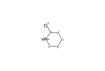 ClC1CCCCN1